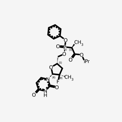 CC(C)OC(=O)[C@H](C)[P@](=O)(OC[C@@H]1C[C@@](C)(F)[C@H](n2ccc(=O)[nH]c2=O)O1)Oc1ccccc1